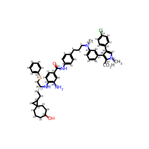 CCN(CCCc1ccc(NC(=O)c2ccc(N[C@H](CCC3CC34CCCC(O)CC4)CSc3ccccc3)c(N)c2)cc1)c1cccc(-c2c(-c3ccc(Cl)cc3)cn(C)c2C(=O)O)c1